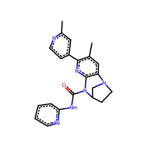 Cc1cc(-c2nc3c(cc2C)N2CCC(C2)N3C(=O)Nc2ccccn2)ccn1